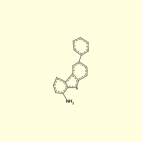 Nc1cccc2c1sc1ccc(-c3ccccc3)cc12